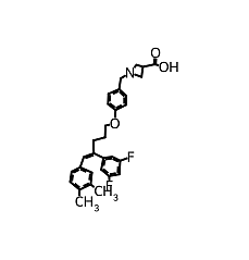 Cc1ccc(/C=C(/CCCOc2ccc(CN3CC(C(=O)O)C3)cc2)c2cc(F)cc(F)c2)cc1C